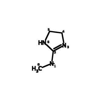 C[N]C1=NCCN1